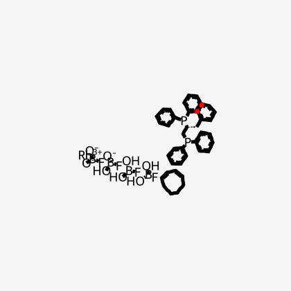 C1=CCCCCC=C1.OB(O)F.OB(O)F.[O-]B(O)F.[O-]B([O-])F.[Rh+3].c1ccc(C[C@H](CP(c2ccccc2)c2ccccc2)P(c2ccccc2)c2ccccc2)cc1